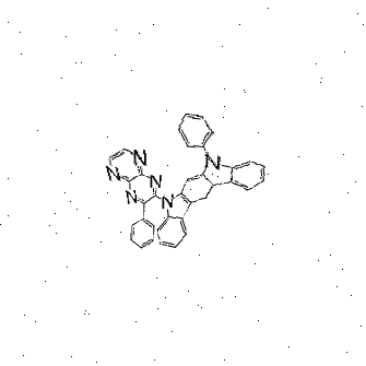 C1=C2C(Cc3c1n(-c1nc4nccnc4nc1-c1ccccc1)c1ccccc31)c1ccccc1N2c1ccccc1